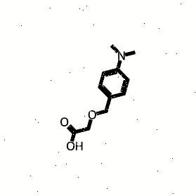 CN(C)c1ccc(COCC(=O)O)cc1